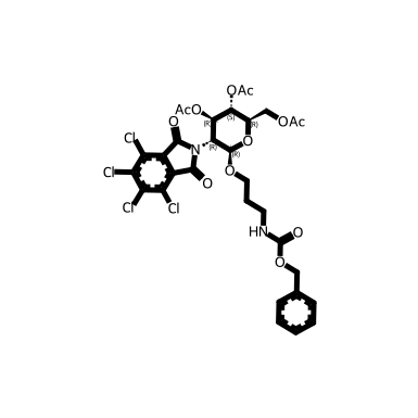 CC(=O)OC[C@H]1O[C@@H](OCCCNC(=O)OCc2ccccc2)[C@H](N2C(=O)c3c(Cl)c(Cl)c(Cl)c(Cl)c3C2=O)[C@@H](OC(C)=O)[C@@H]1OC(C)=O